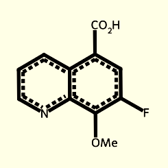 COc1c(F)cc(C(=O)O)c2cccnc12